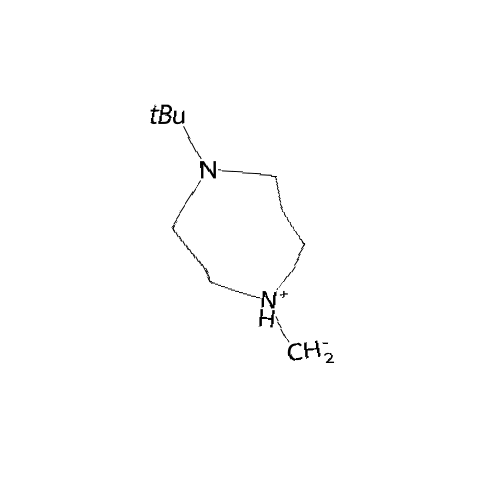 [CH2-][NH+]1CCN(C(C)(C)C)CC1